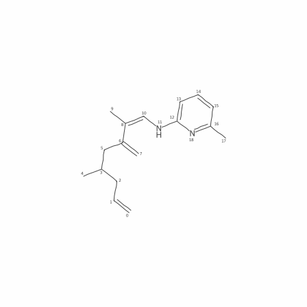 C=CCC(C)CC(=C)/C(C)=C\Nc1cccc(C)n1